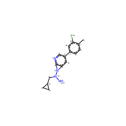 Cc1ccc(-c2cnc3c(c2)N3N(N)CC2CC2)cc1F